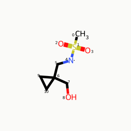 CS(=O)(=O)[N]CC1(CO)CC1